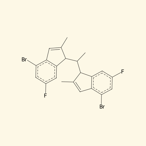 CC1=Cc2c(Br)cc(F)cc2C1C(C)C1C(C)=Cc2c(Br)cc(F)cc21